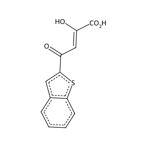 O=C(O)/C(O)=C/C(=O)c1cc2ccccc2s1